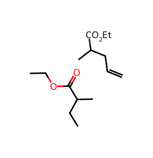 C=CCC(C)C(=O)OCC.CCOC(=O)C(C)CC